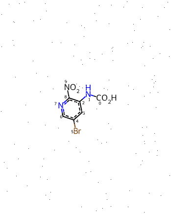 O=C(O)Nc1cc(Br)cnc1[N+](=O)[O-]